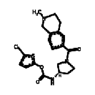 CN1CCc2cc(C(=O)N3CC[C@H](NC(=O)Oc4ccc(Cl)s4)C3)ccc2C1